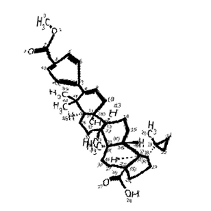 COC(=O)c1ccc(C2=CC[C@]3(C)[C@H]4CC[C@@H]5[C@H]6[C@H](C7(C)CC7)CC[C@]6(C(=O)O)CC[C@@]5(C)[C@]4(C)CC[C@H]3C2(C)C)cc1